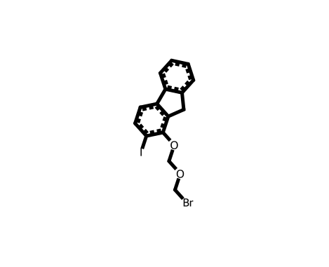 BrCOCOc1c(I)ccc2c1Cc1ccccc1-2